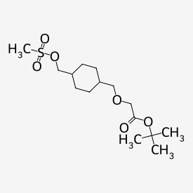 CC(C)(C)OC(=O)COCC1CCC(COS(C)(=O)=O)CC1